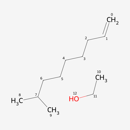 C=CCCCCCC(C)C.CCO